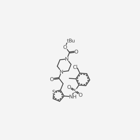 Cc1c(Cl)cccc1S(=O)(=O)Nc1ccsc1CC(=O)N1CCN(C(=O)OC(C)(C)C)CC1